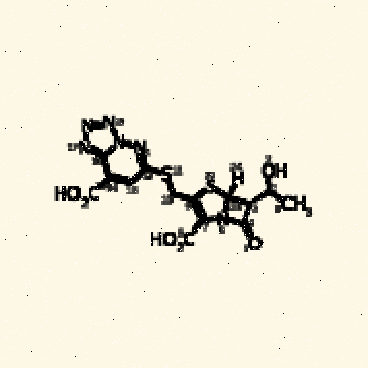 CC(O)[C@H]1C(=O)N2C(C(=O)O)=C(CSc3cc(C(=O)O)c4nnnn4n3)S[C@H]12